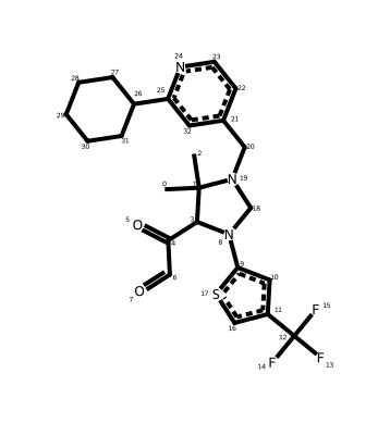 CC1(C)C(C(=O)C=O)N(c2cc(C(F)(F)F)cs2)CN1Cc1ccnc(C2CCCCC2)c1